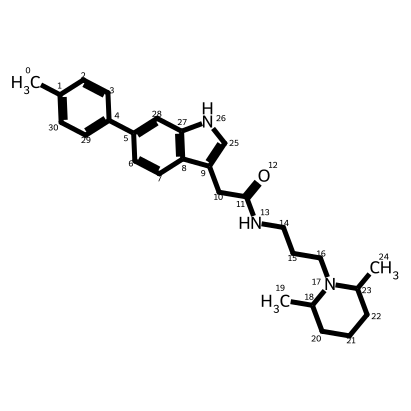 Cc1ccc(-c2ccc3c(CC(=O)NCCCN4C(C)CCCC4C)c[nH]c3c2)cc1